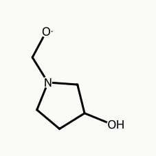 [O]CN1CCC(O)C1